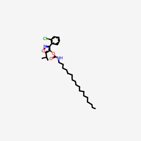 CCCCCCCCCCCCCCCCCCNC(=O)Oc1c(-c2ccccc2Cl)noc1C(C)C